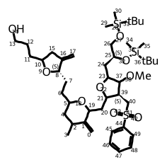 C=C1C(C)CC(CC[C@@H]2OC(CCCO)CC2=C)OC1CC1OC(C[C@@H](CO[Si](C)(C)C(C)(C)C)O[Si](C)(C)C(C)(C)C)C(OC)[C@H]1CS(=O)(=O)c1ccccc1